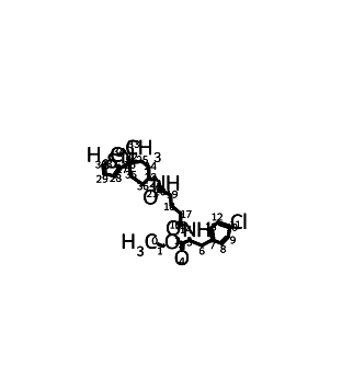 CCOC(=O)C(Cc1ccc(Cl)cc1)NC(=O)CCCC(=O)NC1CCC(c2cccs2)(N(C)C)CC1